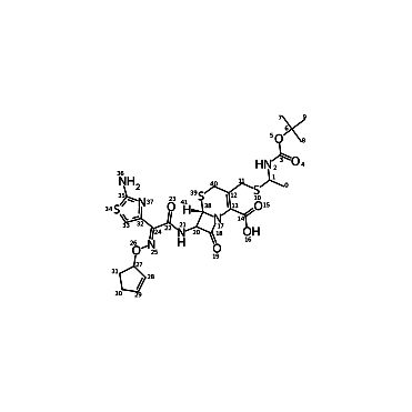 CC(NC(=O)OC(C)(C)C)SCC1=C(C(=O)O)N2C(=O)C(NC(=O)C(=NOC3C=CCC3)c3csc(N)n3)[C@@H]2SC1